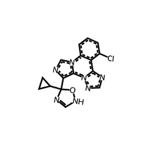 Clc1cccc2c1c1ncnn1c1c(C3(C4CC4)N=CNO3)ncn21